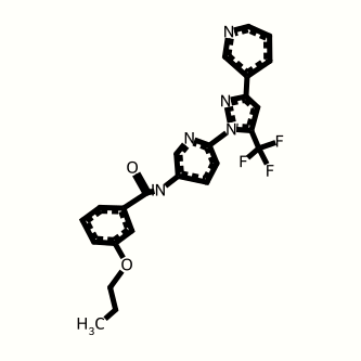 CCCOc1cccc(C(=O)Nc2ccc(-n3nc(-c4cccnc4)cc3C(F)(F)F)nc2)c1